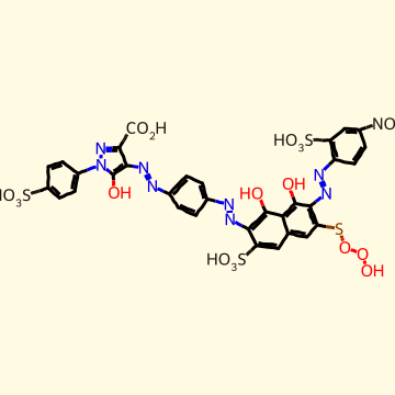 O=C(O)c1nn(-c2ccc(S(=O)(=O)O)cc2)c(O)c1N=Nc1ccc(N=Nc2c(S(=O)(=O)O)cc3cc(SOOO)c(N=Nc4ccc([N+](=O)[O-])cc4S(=O)(=O)O)c(O)c3c2O)cc1